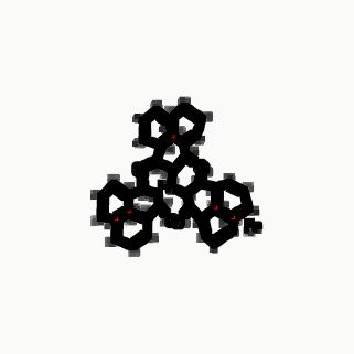 O=C(c1ccccc1)[CH](C(=O)c1ccccc1)[Fe]([CH](C(=O)c1ccccc1)C(=O)c1ccccc1)[CH](C(=O)c1ccccc1)C(=O)c1ccccc1.[Fe]